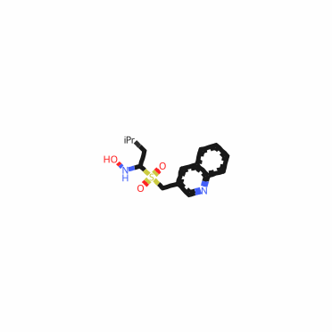 CC(C)CC(NO)S(=O)(=O)Cc1cnc2ccccc2c1